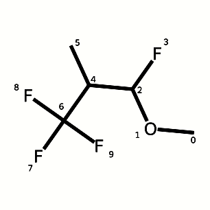 COC(F)C(C)C(F)(F)F